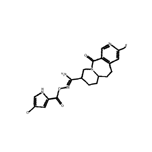 N/C(=N\OC(=O)c1cc(Cl)c[nH]1)C1CCC2CCc3cc(F)ncc3C(=O)N2C1